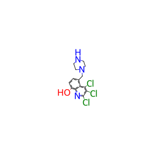 Oc1ccc(CN2CCNCC2)c2c(Cl)c(Cl)c(Cl)nc12